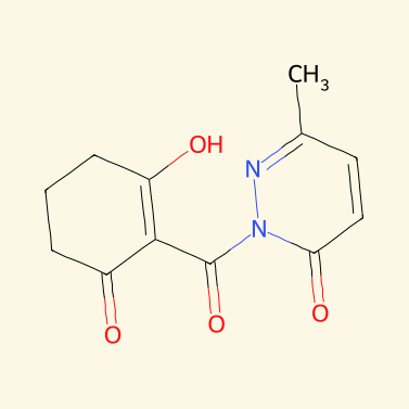 Cc1ccc(=O)n(C(=O)C2=C(O)CCCC2=O)n1